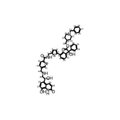 O=C(NCc1ccc(-c2cccc(C(O)(C(=O)OCC3CCN(Cc4ccccc4)CC3)c3ccccc3)c2)s1)c1ccc(CNC[C@H](O)c2ccc(O)c3[nH]c(=O)ccc23)cn1